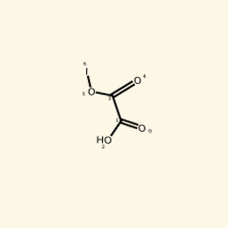 O=C(O)C(=O)OI